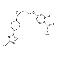 CC(C)c1noc(N2CCC([C@H]3CC3CCOc3ccc(C(=O)C4CC4)c(F)c3)CC2)n1